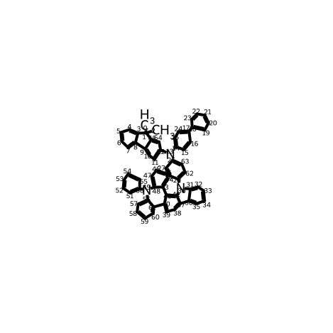 CC1(C)c2ccccc2-c2ccc(N(c3ccc(-c4ccccc4)cc3)c3ccc(-n4c5ccccc5c5ccc6c(c54)-c4ccccc4N(c4ccccc4)c4ccccc4-6)cc3)cc21